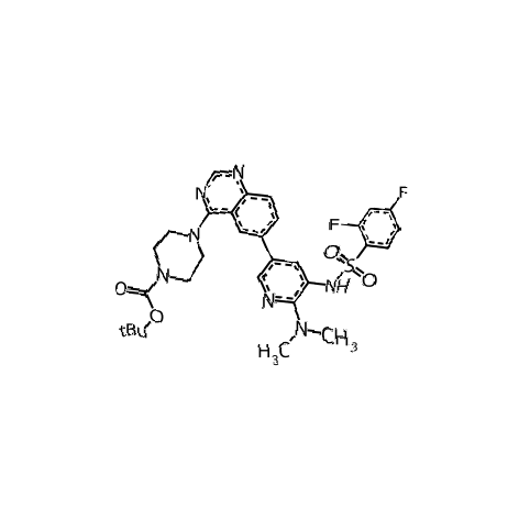 CN(C)c1ncc(-c2ccc3ncnc(N4CCN(C(=O)OC(C)(C)C)CC4)c3c2)cc1NS(=O)(=O)c1ccc(F)cc1F